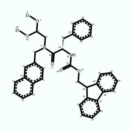 CCOC(CN(Cc1ccc2ccccc2c1)C(=O)[C@H](Cc1ccccc1)NC(=O)OCC1c2ccccc2-c2ccccc21)OCC